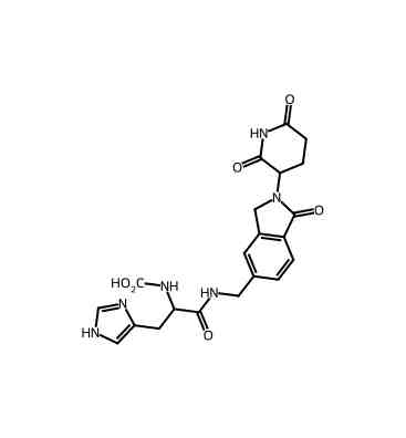 O=C(O)NC(Cc1c[nH]cn1)C(=O)NCc1ccc2c(c1)CN(C1CCC(=O)NC1=O)C2=O